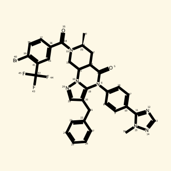 C[C@H]1CC2C(=O)N(c3ccc(-c4ncnn4C)cc3)c3c(Cc4ccccc4)cnn3C2CN1C(=O)c1ccc(Br)c(C(F)(F)F)c1